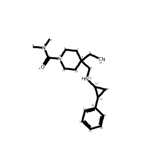 CN(C)C(=O)N1CCC(CC#N)(CNC2CC2c2ccccc2)CC1